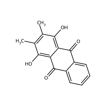 Cc1c(C)c(O)c2c(c1O)C(=O)c1ccccc1C2=O